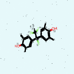 Cc1cc(C(F)(c2cc(C)c(O)c(C)c2)C(F)(F)C(F)(F)F)cc(C)c1O